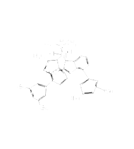 CC1=Cc2c(-c3cc(C(C)(C)C)cc(C(C)(C)C)c3)cccc2[CH]1[Hf]([Cl])([Cl])([CH]1C(C)=Cc2c(-c3cc(C(C)(C)C)cc(C(C)(C)C)c3)cccc21)[SiH](C)C